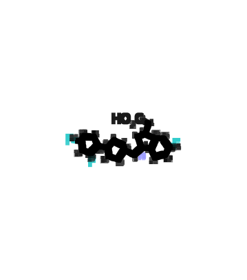 O=C(O)CC1C/C(=C\c2ccc(-c3ccc(F)cc3F)cc2)c2ccc(F)cc21